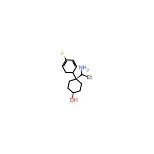 CCC(N)[C@]1(C2C=CC(F)=CC2)CC[C@H](O)CC1